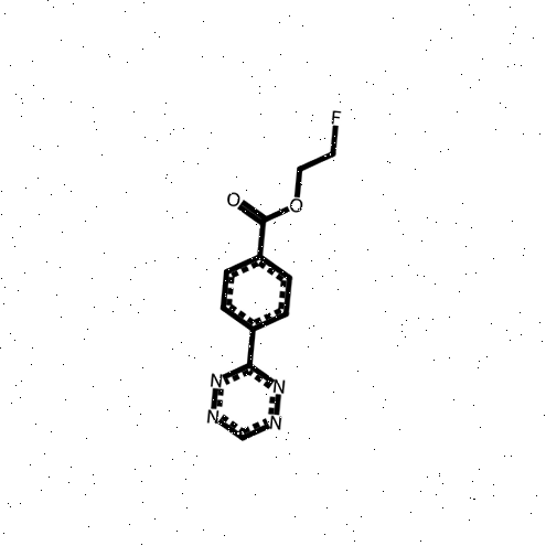 O=C(OCCF)c1ccc(-c2nncnn2)cc1